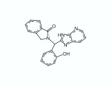 O=C1c2ccccc2CN1C(c1nc2cccnc2[nH]1)c1ccccc1O